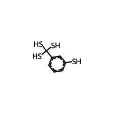 Sc1cccc(C(S)(S)S)c1